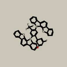 Fc1cc(F)cc(-c2cc(-n3c4ccccc4c4ccc5c6ccccc6oc5c43)c(C(F)(F)F)cc2-n2c3ccccc3c3ccc4c5ccccc5oc4c32)c1